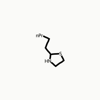 CCCCCC1NCCS1